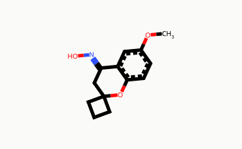 COc1ccc2c(c1)C(=NO)CC1(CCC1)O2